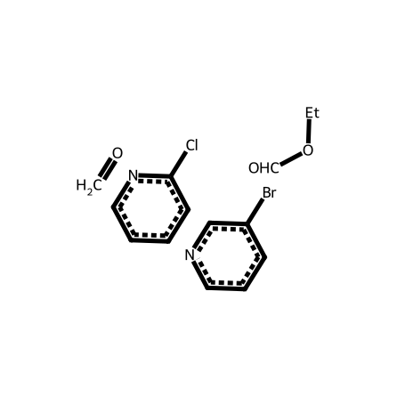 Brc1cccnc1.C=O.CCOC=O.Clc1ccccn1